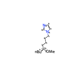 CCCC[C@@H](CCCCn1ccnc1)OC